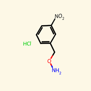 Cl.NOCc1cccc([N+](=O)[O-])c1